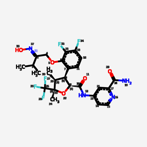 CC(C)/C(COc1c([C@H]2[C@H](C(=O)Nc3ccnc(C(N)=O)c3)O[C@@](C)(C(F)(F)F)[C@H]2C)ccc(F)c1F)=N\O